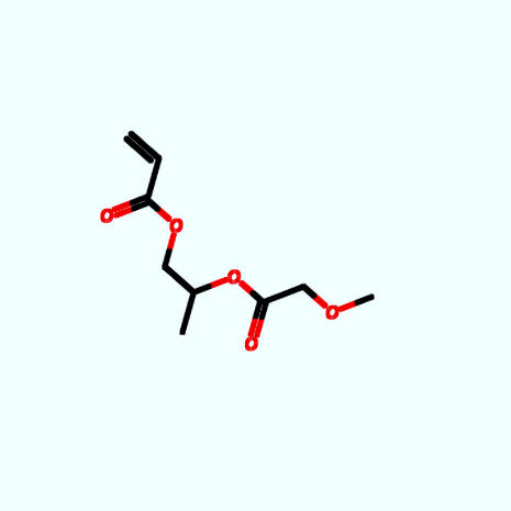 C=CC(=O)OCC(C)OC(=O)COC